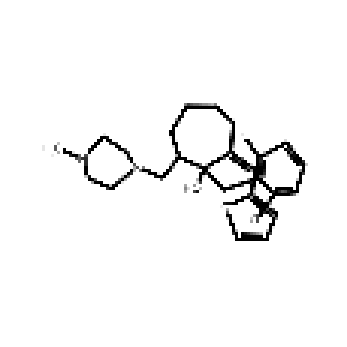 CN1CCN(CC2CCCC/C(=C/c3ccco3)C2(O)Cc2c(F)cccc2Cl)CC1